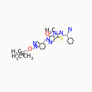 Cn1c2nc(C(C#N)c3ccccc3)sc2c2cnn(Cc3cccc4c3cnn4COCC[Si](C)(C)C)c(=O)c21